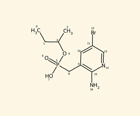 CCC(C)OP(=O)(O)Cc1cc(Br)cnc1N